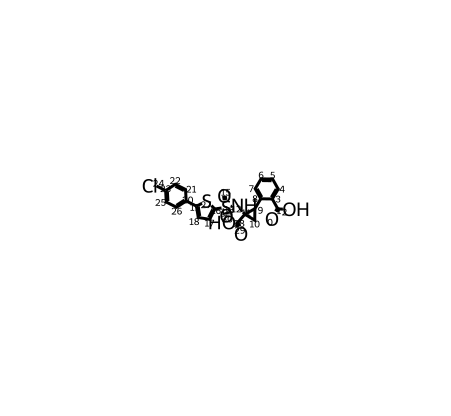 O=C(O)c1ccccc1C1CC1(NS(=O)(=O)c1ccc(-c2ccc(Cl)cc2)s1)C(=O)O